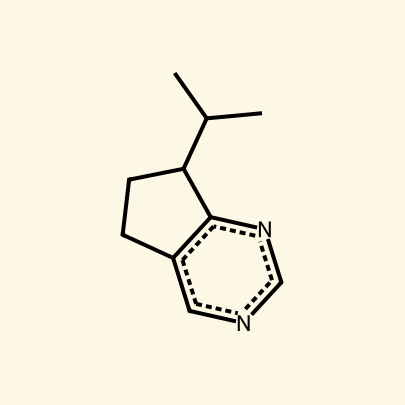 CC(C)C1CCc2cncnc21